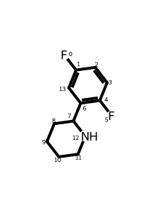 Fc1ccc(F)c(C2CCCCN2)c1